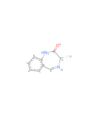 O=C1Nc2ccccc2C=NC1F